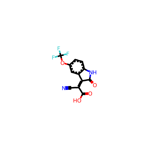 N#C/C(C(=O)O)=C1/C(=O)Nc2ccc(OC(F)(F)F)cc21